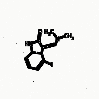 CN(C)/C=C1\C(=O)NC2C=CC=C(I)C12